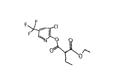 CCOC(=O)C(CC)C(=O)Oc1ncc(C(F)(F)F)cc1Cl